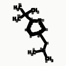 CN(C)Cc1ccc(C(C)(C)C)nc1